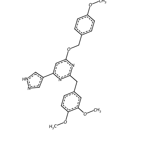 COc1ccc(COc2cc(-c3cn[nH]c3)nc(Cc3ccc(OC)c(OC)c3)n2)cc1